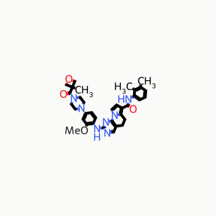 COc1cc(N2CCN(C(=O)C3(C)COC3)CC2)ccc1Nc1ncc2c(n1)-n1ccc(C(=O)Nc3cccc(C)c3C)c1CC2